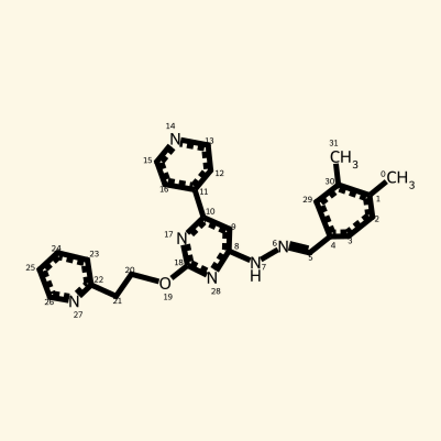 Cc1ccc(C=NNc2cc(-c3ccncc3)nc(OCCc3ccccn3)n2)cc1C